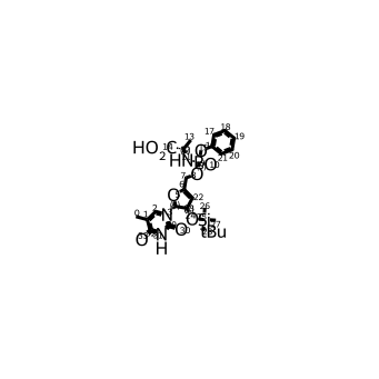 Cc1cn([C@@H]2OC(CO[P@@](=O)(N[C@@H](C)C(=O)O)Oc3ccccc3)=C[C@H]2O[Si](C)(C)C(C)(C)C)c(=O)[nH]c1=O